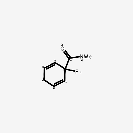 CNC(=O)C1(F)C=C[CH]C=C1